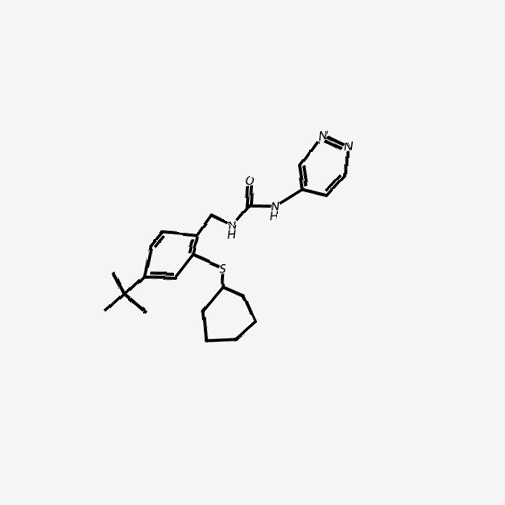 CC(C)(C)c1ccc(CNC(=O)Nc2ccnnc2)c(SC2CCCCC2)c1